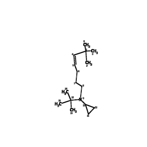 CC(C)(C)/C=C\CCCN(C1CC1)C(C)(C)C